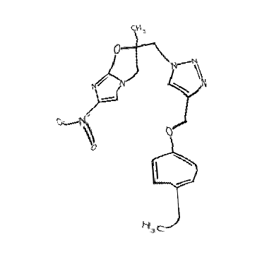 CCc1ccc(OCc2cn(CC3(C)Cn4cc([N+](=O)[O-])nc4O3)nn2)cc1